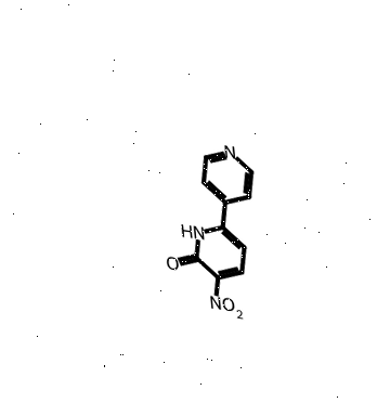 O=c1[nH]c(-c2ccncc2)ccc1[N+](=O)[O-]